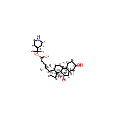 C[C@H](CCC(=O)OC(C)(C)C1CCNCC1)[C@H]1CC[C@H]2[C@@H]3C(O)C[C@@H]4CC(O)CC[C@]4(C)[C@H]3CC[C@]12C